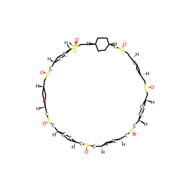 C[SH]1(=O)C[C@H]2CC[C@H](CC2)C[S+]([O-])C[C@H]2CC[C@H](CC2)C[S+]([O-])C[C@@H]2CC[C@@H](CC2)C[S@@+]([O-])C[C@H]2CC[C@H](CC2)C[S+]([O-])C[C@H]2CC[C@H](CC2)C[S+]([O-])C[C@@H]2CC[C@@H](CC2)C[S+]([O-])C[C@@H]2CC[C@H]1CC2